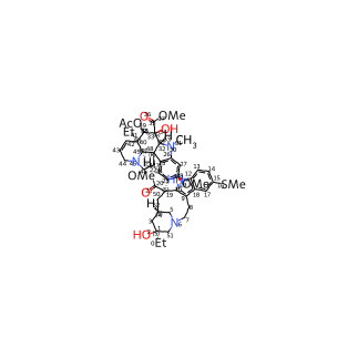 CC[C@]1(O)C[C@H]2CN(CCc3c([nH]c4ccc(SC)cc34)[C@@](C(=O)OC)(c3cc4c(cc3OC)N(C)[C@H]3[C@@](O)(C(=O)OC)[C@H](OC(C)=O)[C@]5(CC)C=CCN6CC[C@]43[C@@H]65)C2)C1